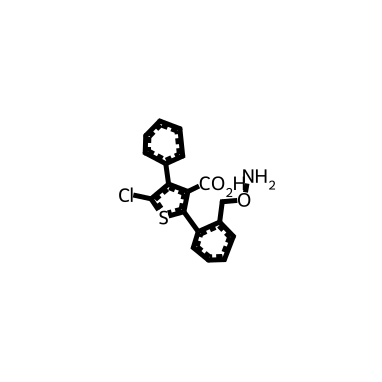 NOCc1ccccc1-c1sc(Cl)c(-c2ccccc2)c1C(=O)O